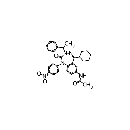 CC(=O)Nc1ccc2c(c1)C(C1CCCCC1)=NN(C(C)c1ccccc1)C(=O)N2c1ccc([N+](=O)[O-])cc1